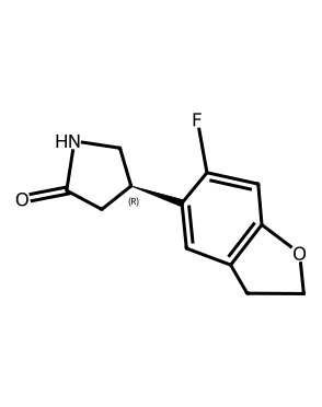 O=C1C[C@H](c2cc3c(cc2F)OCC3)CN1